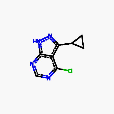 Clc1ncnc2[nH]nc(C3CC3)c12